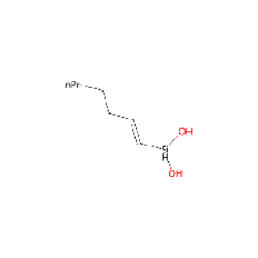 CCCCCC=C[SiH](O)O